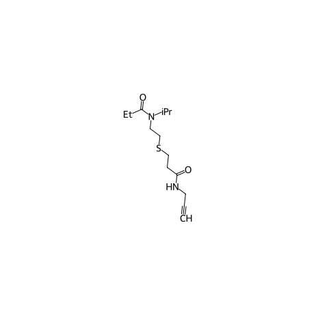 C#CCNC(=O)CCSCCN(C(=O)CC)C(C)C